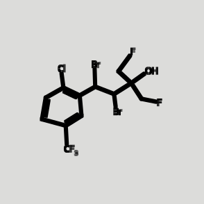 OC(CF)(CF)C(Br)C(Br)c1cc(C(F)(F)F)ccc1Cl